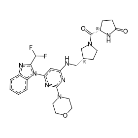 O=C1CC[C@@H](C(=O)N2CC[C@H](CNc3cc(-n4c(C(F)F)nc5ccccc54)nc(N4CCOCC4)n3)C2)N1